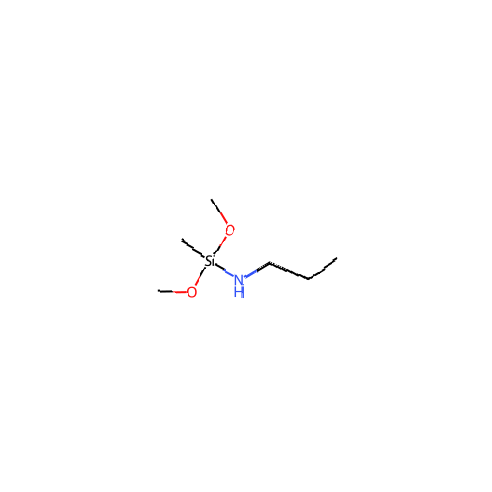 CCCN[Si](C)(OC)OC